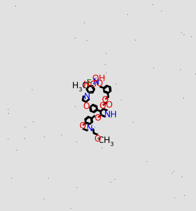 COCCCN1CCOc2ccc(COC3CNCC(OC(=O)OCc4cccc(CON(O)O)c4)C3c3ccc(OC4CCN(C5=CC=CC(C)(F)C5)C4)cc3)cc21